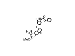 COCOCc1cc2nccc(Oc3ccc(NC(=O)Oc4ccccc4)c(F)c3)c2cc1C(N)=O